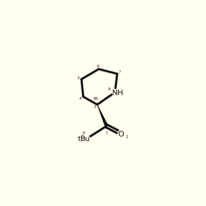 CC(C)(C)C(=O)[C@H]1CCCCN1